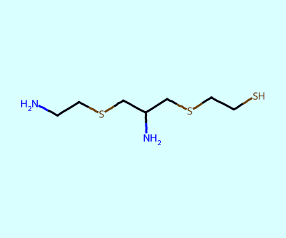 NCCSCC(N)CSCCS